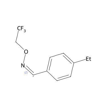 CCc1ccc(/[C]=N\OCC(F)(F)F)cc1